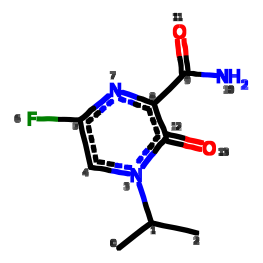 CC(C)n1cc(F)nc(C(N)=O)c1=O